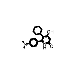 CN(C)c1ccc(-c2[nH]c(=O)cc(O)c2C2CCCCC2)cc1